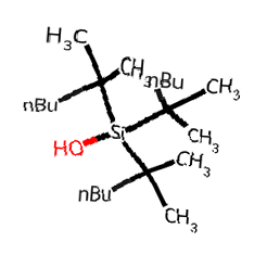 CCCCC(C)(C)[Si](O)(C(C)(C)CCCC)C(C)(C)CCCC